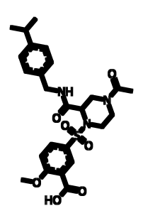 COc1ccc(S(=O)(=O)N2CCN(C(C)=O)CC2C(=O)NCc2ccc(C(C)C)cc2)cc1C(=O)O